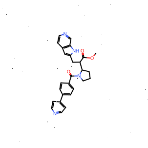 COC(=O)C(Cc1cc2ccncc2[nH]1)C1CCCN1C(=O)c1ccc(-c2ccncc2)cc1